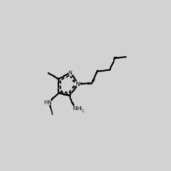 CCCCCn1nc(C)c(NC)c1N